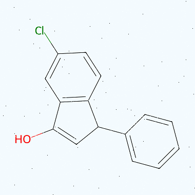 OC1=CC(c2ccccc2)c2ccc(Cl)cc21